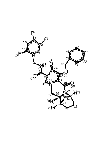 O=C(NCc1cc(F)c(F)cc1F)c1cn2c(c(OCc3ccccc3)c1=O)C(=O)N1[C@H]3CC[C@H](C3)[C@@H]1C2